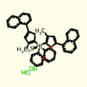 CC1=[C]([Hf](=[SiH2])([C]2=C(C)C=C(c3cccc4ccccc34)C2)([c]2ccccc2)[c]2ccccc2)CC(c2cccc3ccccc23)=C1.Cl.Cl